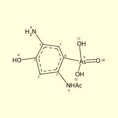 CC(=O)Nc1cc(O)c(N)cc1[As](=O)(O)O